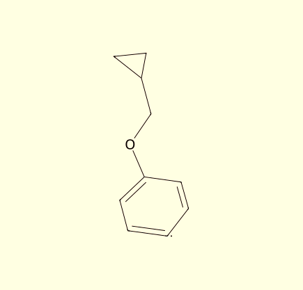 [c]1ccc(OCC2CC2)cc1